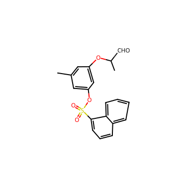 Cc1cc(OC(C)C=O)cc(OS(=O)(=O)c2cccc3ccccc23)c1